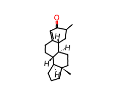 CC1C[C@H]2C(=CC1=O)CC[C@@H]1[C@@H]2CC[C@]2(C)CCC[C@@H]12